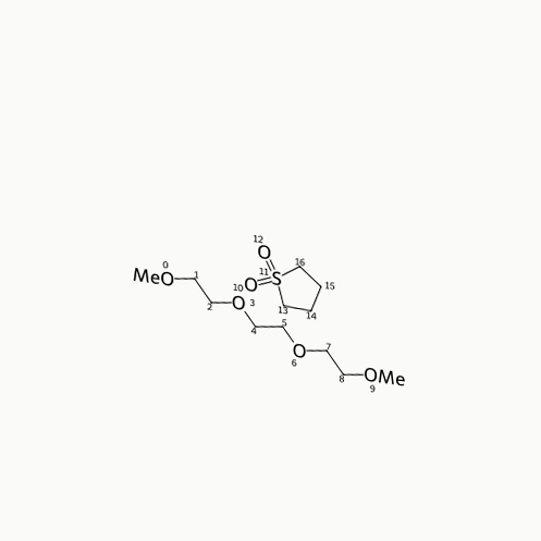 COCCOCCOCCOC.O=S1(=O)CCCC1